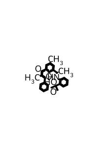 Cc1cc([C@@H](C)Nc2ccccc2C2(O)COC2)c2oc(-c3ccccc3)c(C)c(=O)c2c1